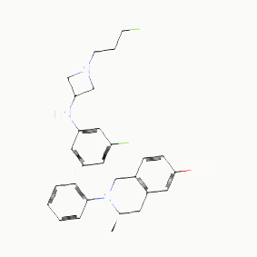 C[C@@H]1Cc2cc(O)ccc2[C@@H](c2c(F)cc(NC3CN(CCCF)C3)cc2F)N1c1ccccc1